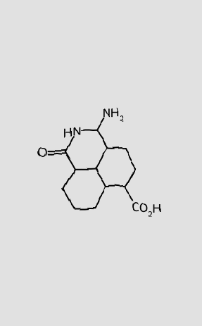 NC1NC(=O)C2CCCC3C(C(=O)O)CCC1C23